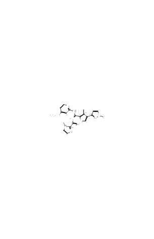 COc1ccnc(Nc2nc(-c3nccn3C)nn3cc(-c4ccn(C)n4)c(C)c23)c1